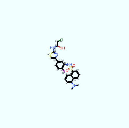 CN(C)c1cccc2c(S(=O)(=O)Nc3cc(-c4csc(NC(O)CCl)n4)ccc3I)cccc12